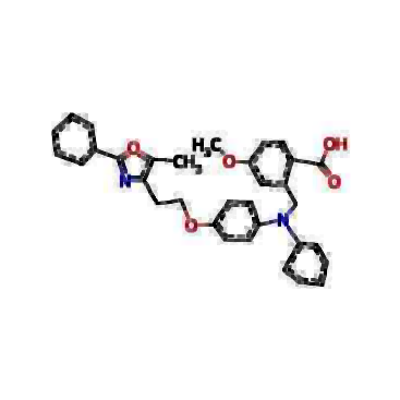 COc1ccc(C(=O)O)c(CN(c2ccccc2)c2ccc(OCCc3nc(-c4ccccc4)oc3C)cc2)c1